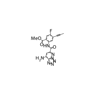 CC#Cc1cc(NC(=O)c2cc(N)c3nnnn3n2)c(C(=O)OC)cc1F